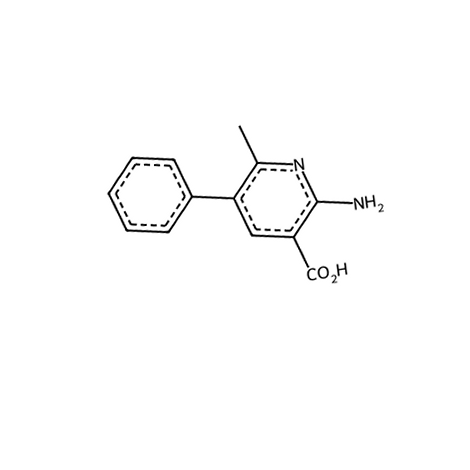 Cc1nc(N)c(C(=O)O)cc1-c1ccccc1